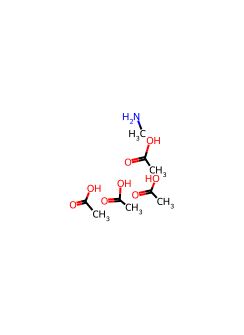 CC(=O)O.CC(=O)O.CC(=O)O.CC(=O)O.CN